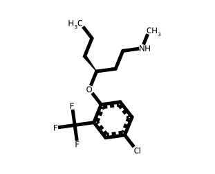 CCC[C@@H](CCNC)Oc1ccc(Cl)cc1C(F)(F)F